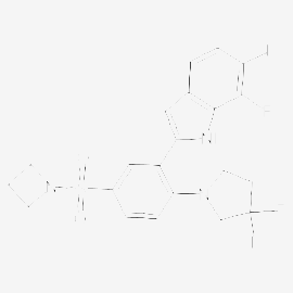 O=S(=O)(c1ccc(N2CCC(F)(F)C2)c(-c2cc3ccc(F)c(F)c3[nH]2)c1)N1CCC1